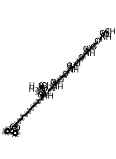 COC(=O)NCCOCCOCCC(=O)NCCOCCOCCC(=O)NCCOCCOCCC(=O)NCCCC[C@H](NC(=O)CCCCCCCCCCCCCCCCC(=O)OC1c2ccccc2-c2ccccc21)C(=O)OC(C)(C)C